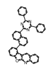 c1ccc(-c2nc(-c3ccccc3)nc(-c3cccc4c(-c5cccc6oc7nc8ccccc8cc7c56)cccc34)n2)cc1